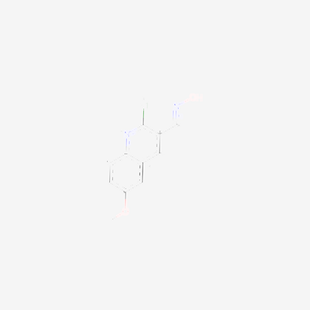 COc1ccc2nc(Cl)c(/C=N/O)cc2c1